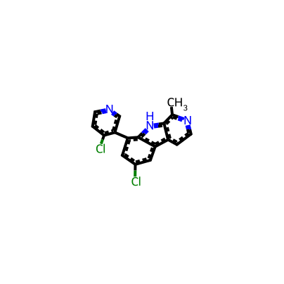 Cc1nccc2c1[nH]c1c(-c3cnccc3Cl)cc(Cl)cc12